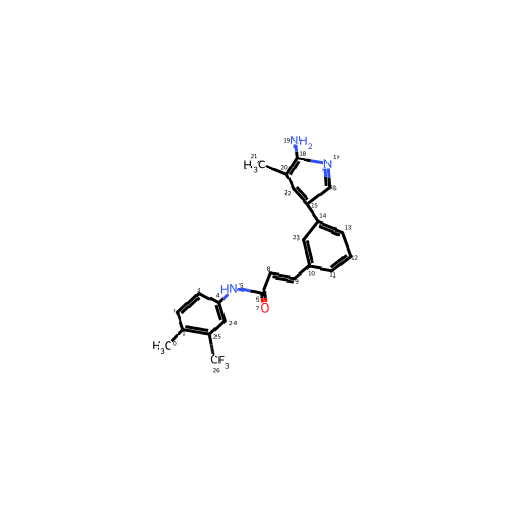 Cc1ccc(NC(=O)C=Cc2cccc(-c3cnc(N)c(C)c3)c2)cc1C(F)(F)F